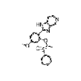 COc1ccc(-c2nc3cnccc3[nH]2)c(OC(C)[S+]([O-])c2ccccc2)c1